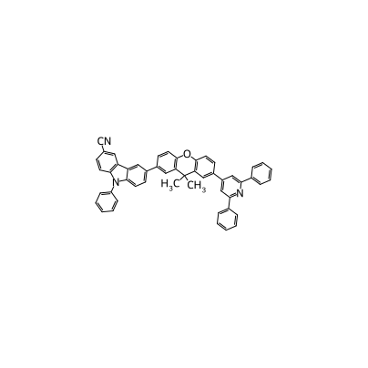 CC1(C)c2cc(-c3cc(-c4ccccc4)nc(-c4ccccc4)c3)ccc2Oc2ccc(-c3ccc4c(c3)c3cc(C#N)ccc3n4-c3ccccc3)cc21